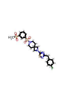 CS(=O)(=O)c1cccc(S(=O)(=O)N2CCC3(CC2)CN(c2nc(Cc4ccc(F)cc4)ns2)C3)c1